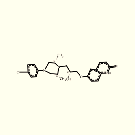 C[C@@H]1CN(c2ccc(Cl)cc2)C[C@H](C)N1C[C@@H](O)COc1ccc2[nH]c(=O)ccc2c1